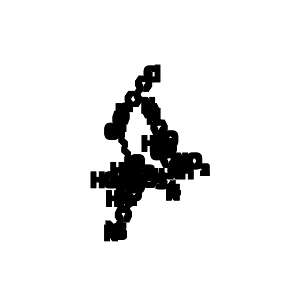 Cc1ncsc1-c1ccc([C@H](C)NC(=O)[C@@H]2C[C@@H](O)CN2C(=O)[C@@H](NC(=O)CCCCCCC(=O)N2CCN(CC3(C)CCC(c4ccc(Cl)cc4)=C(CN4CCN(c5ccc(C(=O)NS(=O)(=O)c6ccc(N[C@H](CCN(C)C)CSc7ccccc7)c([N+](=O)[O-])c6)cc5)CC4)C3)CC2)C(C)(C)C)cc1